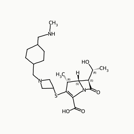 CNCC1CCC(CN2CC(SC3=C(C(=O)O)N4C(=O)[C@H]([C@@H](C)O)[C@H]4[C@H]3C)C2)CC1